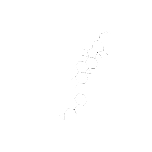 C[C@@H]1CC(CC=O)OC2[C@H]1C1(C)CC[C@@]34CC35CCC(O[C@H]3CN(C(=O)CC6CC6)CCO3)C(C)(C)C5CCC4[C@]1(C)[C@H]2O